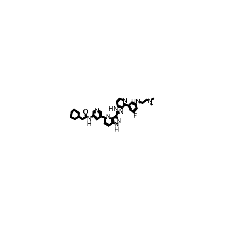 CN(C)CCNc1cc(F)cc(-c2nccc3[nH]c(-c4n[nH]c5ccc(-c6cncc(NC(=O)CC7CCCCC7)c6)nc45)nc23)c1